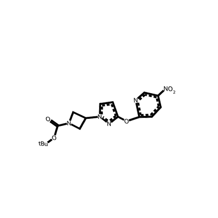 CC(C)(C)OC(=O)N1CC(n2ccc(Oc3ccc([N+](=O)[O-])cn3)n2)C1